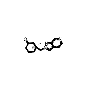 C[C@]1(Cn2cc3ccncc3n2)CCCC(=O)C1